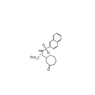 CCOC(=O)[C@H](NS(=O)(=O)c1ccc2ccccc2c1)C1CCCCC(=O)C1